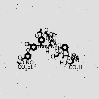 CC1COc2ccccc2N1C(=O)C(Cl)Cl.CCNc1nc(Cl)nc(NC(C)(C)C)n1.CCOC(=O)C(C)OC(=O)c1cc(Oc2ccc(C(F)(F)F)cc2Cl)ccc1[N+](=O)[O-].CCc1cccc(C)c1N(C(=O)CCl)C(C)COC.CP(=O)(O)CCC(N)C(=O)O